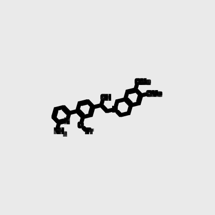 COc1cc2c(cc1OC)CN(CC(O)c1ccc(-c3cccc(N)n3)c(OC(C)C)c1)CC2